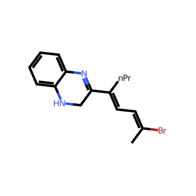 CCC/C(=C\C=C(/C)Br)C1=Nc2ccccc2NC1